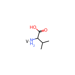 CC(C)C(N)C(=O)O.[V]